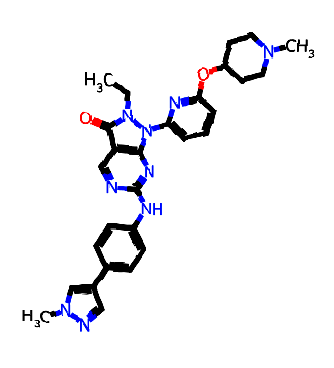 CCn1c(=O)c2cnc(Nc3ccc(-c4cnn(C)c4)cc3)nc2n1-c1cccc(OC2CCN(C)CC2)n1